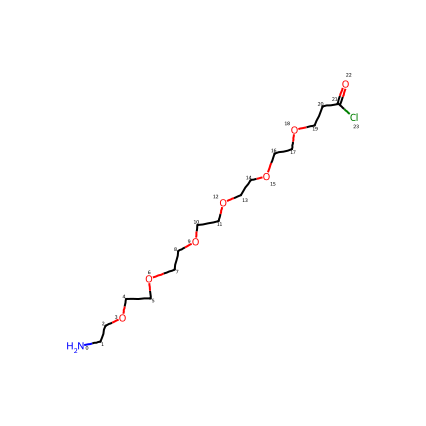 NCCOCCOCCOCCOCCOCCOCCC(=O)Cl